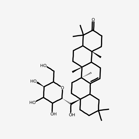 CC1(C)CC[C@]2(C(O)[C@H]3OC(CO)[C@H](O)C(O)C3O)CC[C@]3(C)C(=CCC4[C@@]5(C)CCC(=O)C(C)(C)C5CC[C@]43C)C2C1